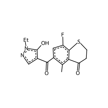 CCn1ncc(C(=O)c2cc(F)c3c(c2C)C(=O)CCS3)c1O